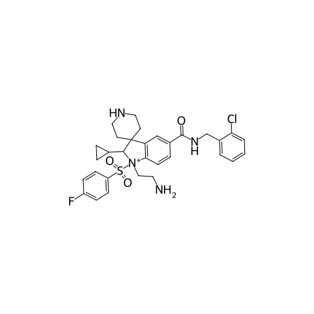 NCC[N+]1(S(=O)(=O)c2ccc(F)cc2)c2ccc(C(=O)NCc3ccccc3Cl)cc2C2(CCNCC2)C1C1CC1